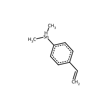 C=Cc1cc[c]([SnH]([CH3])[CH3])cc1